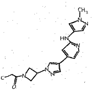 Cn1cc(Nc2cc(-c3cnn(C4CN(C(=O)CC#N)C4)c3)ccn2)cn1